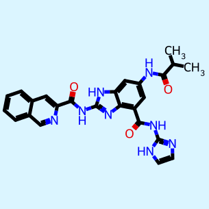 CC(C)C(=O)Nc1cc(C(=O)Nc2ncc[nH]2)c2nc(NC(=O)c3cc4ccccc4cn3)[nH]c2c1